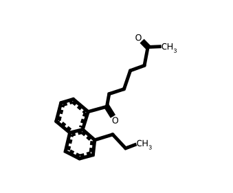 CCCc1cccc2cccc(C(=O)CCCCC(C)=O)c12